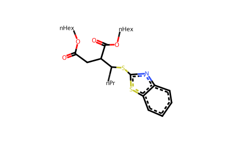 CCCCCCOC(=O)CC(C(=O)OCCCCCC)C(CCC)Sc1nc2ccccc2s1